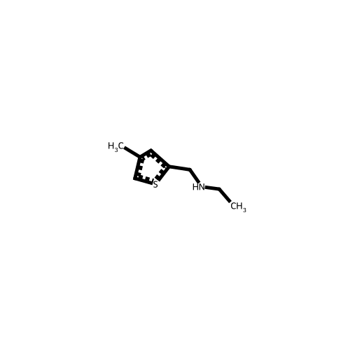 CCNCc1cc(C)cs1